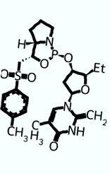 C=C1NC(=O)C(C)=CN1[C@H]1C[C@@H](O[P@@]2O[C@H](CS(=O)(=O)c3ccc(C)cc3)[C@@H]3CCCN32)[C@@H](CC)O1